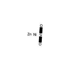 O=[Si]=O.[Ni].[Zn]